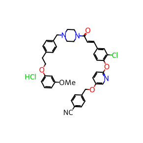 COc1cccc(OCCc2ccc(CN3CCN(C(=O)C=Cc4ccc(Oc5ccc(OCc6ccc(C#N)cc6)cn5)c(Cl)c4)CC3)cc2)c1.Cl